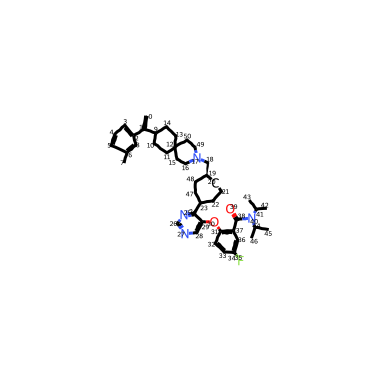 C=C(c1cccc(C)c1)C1CCC2(CC1)CCN(C[C@H]1CCCC(c3ncncc3Oc3ccc(F)cc3C(=O)N(C(C)C)C(C)C)CC1)CC2